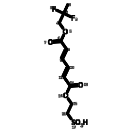 CC(F)(F)COC(=O)/C=C/C=C/C(=O)OCCS(=O)(=O)O